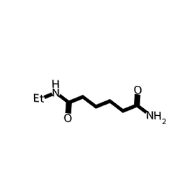 CCNC(=O)CCCCC(N)=O